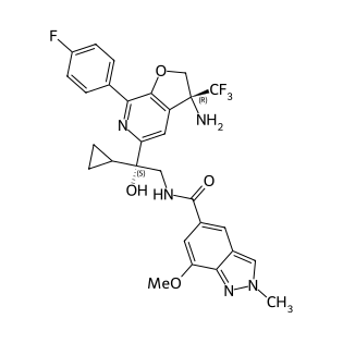 COc1cc(C(=O)NC[C@](O)(c2cc3c(c(-c4ccc(F)cc4)n2)OC[C@@]3(N)C(F)(F)F)C2CC2)cc2cn(C)nc12